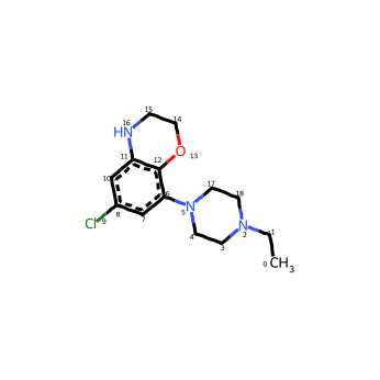 C[CH]N1CCN(c2cc(Cl)cc3c2OCCN3)CC1